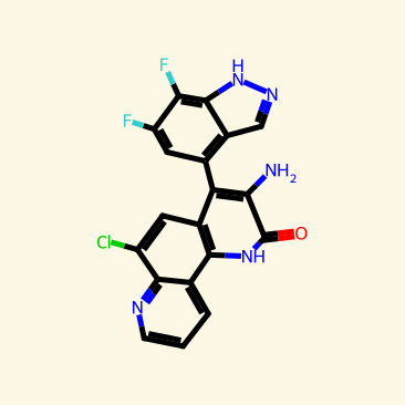 Nc1c(-c2cc(F)c(F)c3[nH]ncc23)c2cc(Cl)c3ncccc3c2[nH]c1=O